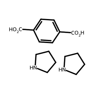 C1CCNC1.C1CCNC1.O=C(O)c1ccc(C(=O)O)cc1